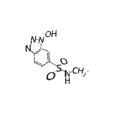 [CH2]NS(=O)(=O)c1ccc2nnn(O)c2c1